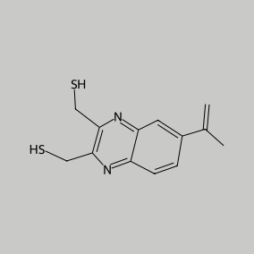 C=C(C)c1ccc2nc(CS)c(CS)nc2c1